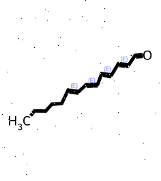 CCCCC/C=C/C=C/C=C/C=C/[C]=O